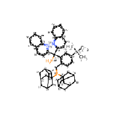 C[Si](C)(C)c1ccc(CP(C23CC4CC(CC(C4)C2)C3)C23CC4CC(CC(C4)C2)C3)c(C(P)(c2ccc3ccccc3n2)c2ccc3ccccc3n2)c1